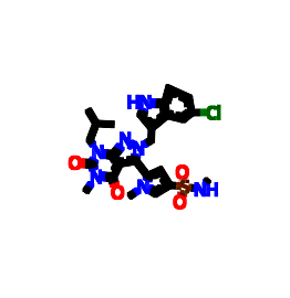 CNS(=O)(=O)c1cc(-c2c3c(=O)n(C)c(=O)n(CC(C)C)c3nn2Cc2c[nH]c3ccc(Cl)cc23)n(C)c1